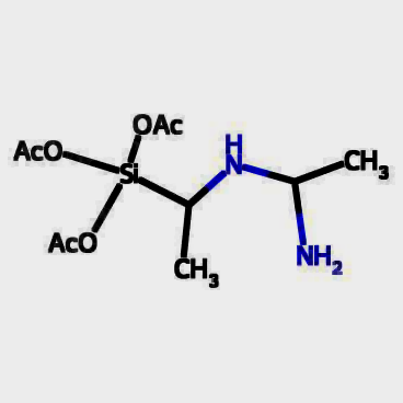 CC(=O)O[Si](OC(C)=O)(OC(C)=O)C(C)NC(C)N